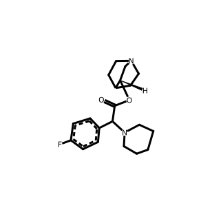 O=C(O[C@H]1CN2CCC1CC2)C(c1ccc(F)cc1)N1CCCCC1